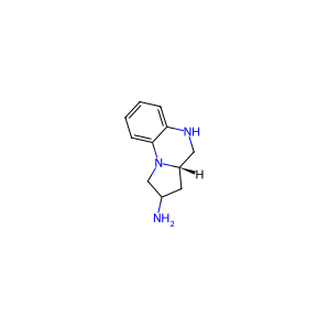 NC1C[C@H]2CNc3ccccc3N2C1